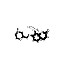 Cc1c(OCC2CNCCO2)ccc2ccc(=O)oc12.Cl